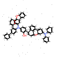 Oc1cc(N(c2ccc3oc4ccccc4c3c2)c2ccc(-c3ccccc3)cc2-c2ccccc2)ccc1-c1ccc2c3c(cccc13)-c1ccc(N(c3ccccc3)c3ccccc3)cc1O2